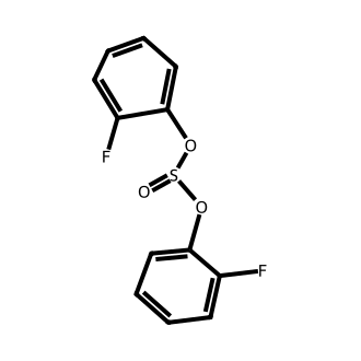 O=S(Oc1ccccc1F)Oc1ccccc1F